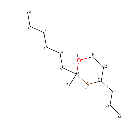 CCCCCCC1(C)OCCC(CCC)S1